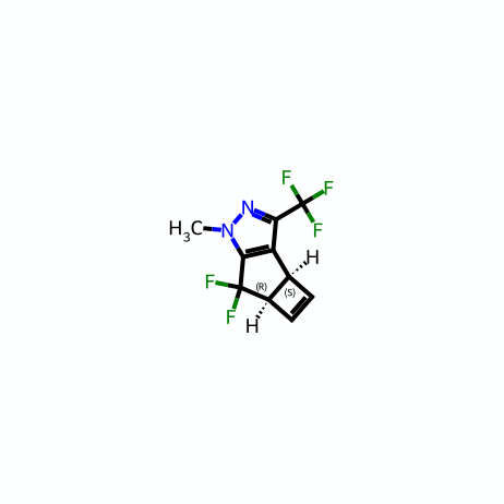 Cn1nc(C(F)(F)F)c2c1C(F)(F)[C@@H]1C=C[C@H]21